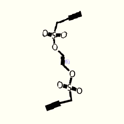 C#CCS(=O)(=O)O/C=C/OS(=O)(=O)CC#C